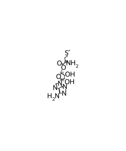 CSCC[C@H](N)C(=O)OC[C@H]1O[C@@H](n2cnc3c(N)ncnc32)C(O)C1O